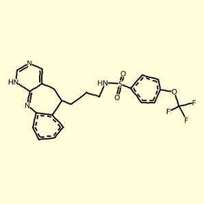 O=S(=O)(NCCCC1CC2=CN=CNC2=Nc2ccccc21)c1ccc(OC(F)(F)F)cc1